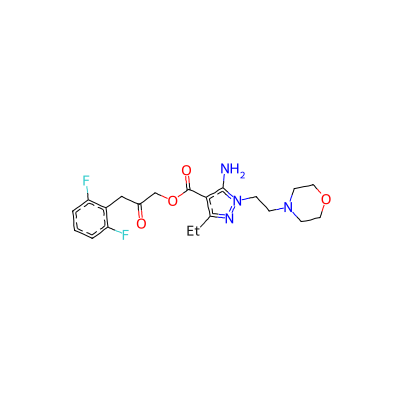 CCc1nn(CCN2CCOCC2)c(N)c1C(=O)OCC(=O)Cc1c(F)cccc1F